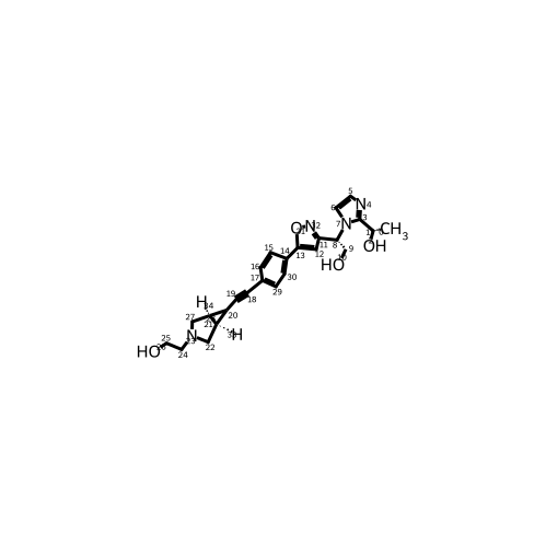 C[C@H](O)c1nccn1[C@H](CO)c1cc(-c2ccc(C#CC3[C@H]4CN(CCO)C[C@@H]34)cc2)on1